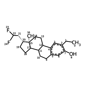 CCc1cc2c(cc1O)CCC1C2CC[C@@]2(C)C1CC[C@@H]2CC(F)F